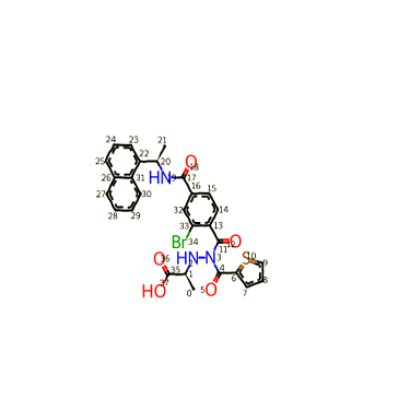 C[C@H](NN(C(=O)c1cccs1)C(=O)c1ccc(C(=O)N[C@H](C)c2cccc3ccccc23)cc1Br)C(=O)O